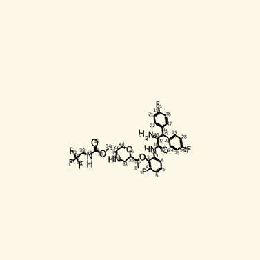 C[C@H](Oc1c(F)cccc1NC(=O)[C@@H](N)C(c1ccc(F)cc1)c1ccc(F)cc1)C1CN[C@H](COC(=O)NCC(F)(F)F)CO1